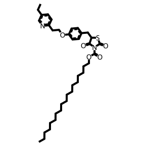 CCCCCCCCCCCCCCCCCCOC(=O)N1C(=O)SC(Cc2ccc(OCCc3ccc(CC)cn3)cc2)C1=O